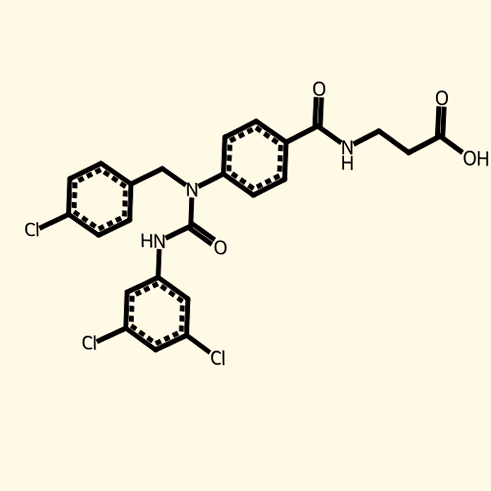 O=C(O)CCNC(=O)c1ccc(N(Cc2ccc(Cl)cc2)C(=O)Nc2cc(Cl)cc(Cl)c2)cc1